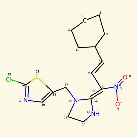 O=[N+]([O-])C(/C=C/C1CCCCC1)=C1\NCCN1Cc1cnc(Cl)s1